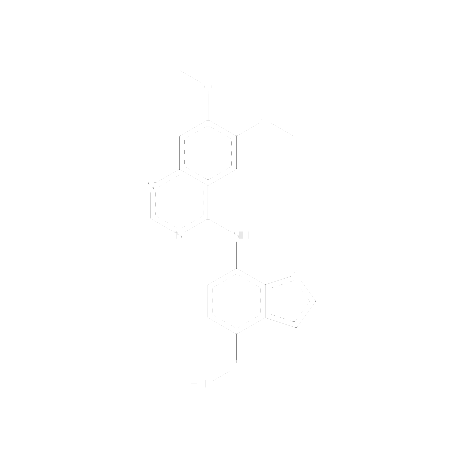 COc1cc2ncnc(Nc3ccc(OP)c4ccsc34)c2cc1OC